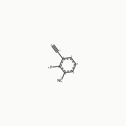 [C]#Cc1cccc(C#N)c1F